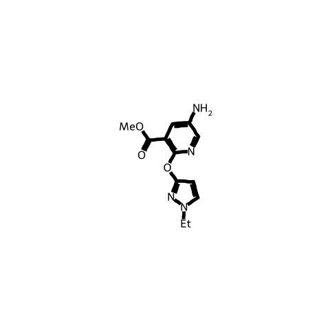 CCn1ccc(Oc2ncc(N)cc2C(=O)OC)n1